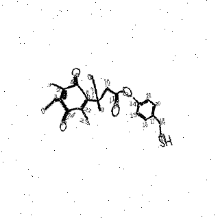 CC1=C(C)C(=O)C(C(C)(C)CC(=O)Oc2ccc(CS)cc2)=C(C)C1=O